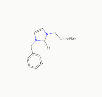 CCCCCCCCCCCN1C=CN(Cc2ccccc2)C1CC